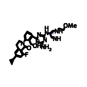 COCCN/C=C(\C=N)Nc1nc(N)nc(-c2cccc(N3CCc4cc(C5CC5)cc(F)c4C3=O)c2CO)n1